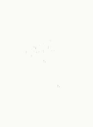 N#Cc1ccc(N2C[C@@H]3[C@@H]([C@@H]4CC[C@H]3N(C(=O)O)C4)S2(=O)=O)cc1C(F)(F)F